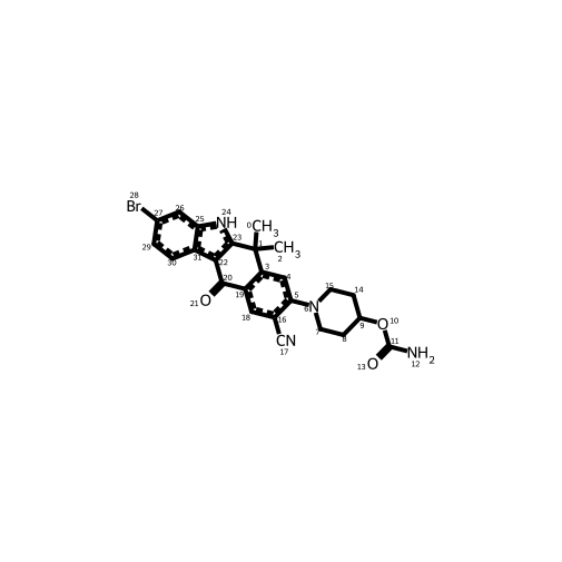 CC1(C)c2cc(N3CCC(OC(N)=O)CC3)c(C#N)cc2C(=O)c2c1[nH]c1cc(Br)ccc21